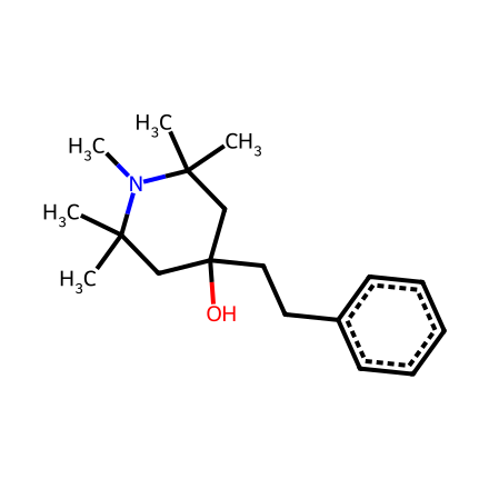 CN1C(C)(C)CC(O)(CCc2ccccc2)CC1(C)C